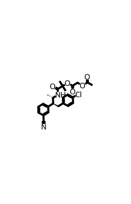 CC(=O)OCC(=O)OC(C)(C)C(=O)N[C@@H](C)[C@@H](Cc1ccc(Cl)cc1)c1cccc(C#N)c1